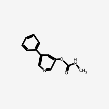 CNC(=O)Oc1cncc(-c2ccccc2)c1